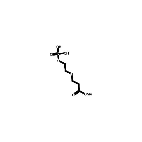 COC(=O)CCOCCOP(=O)(O)O